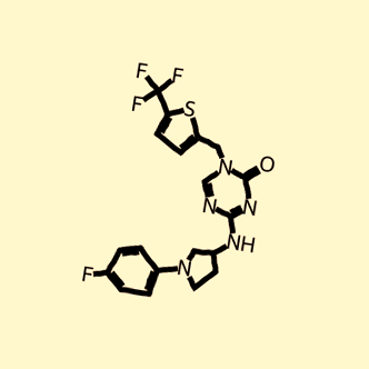 O=c1nc(NC2CCN(c3ccc(F)cc3)C2)ncn1Cc1ccc(C(F)(F)F)s1